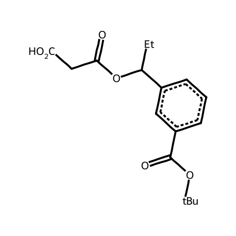 CCC(OC(=O)CC(=O)O)c1cccc(C(=O)OC(C)(C)C)c1